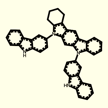 c1ccc2c(c1)[nH]c1ccc(-n3c4c(c5cc6c7ccccc7n(-c7ccc8[nH]c9ccccc9c8c7)c6cc53)CCCC4)cc12